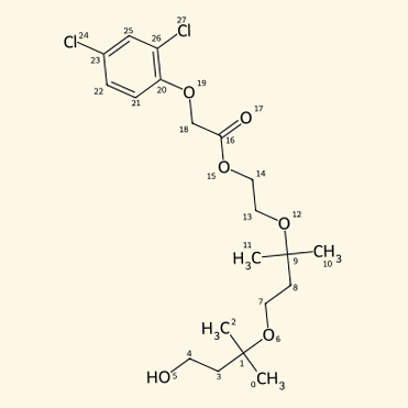 CC(C)(CCO)OCCC(C)(C)OCCOC(=O)COc1ccc(Cl)cc1Cl